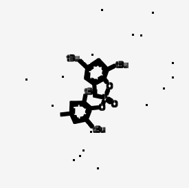 Cc1cc(C(C)(C)C)c(OP2(=O)Cc3cc(C(C)(C)C)cc(C(C)(C)C)c3O2)c(C(C)(C)C)c1